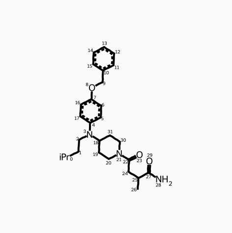 CC(C)CCN(c1ccc(OCc2ccccc2)cc1)C1CCN(C(=O)CC(C)C(N)=O)CC1